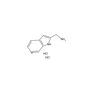 Cl.Cl.NCc1cc2ccncc2[nH]1